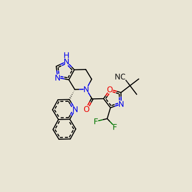 CC(C)(C#N)c1nc(C(F)F)c(C(=O)N2CCc3[nH]cnc3[C@H]2c2ccc3ccccc3n2)o1